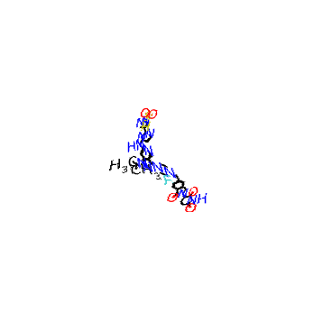 CC(C)n1nc(N2CCN(Cc3cc4c(cc3F)C(=O)N(C3CCC(=O)NC3=O)C4)CC2)c2cnc(Nc3ccnc(-c4cnn([SH](=O)=O)c4)n3)cc21